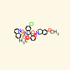 COc1ccc2c(c1)CCN(C(=O)OC1(c3ccccc3OC)C(=O)N(S(=O)(=O)c3cccc4cccnc34)c3ccc(Cl)cc31)C2